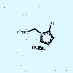 C#N.CCCCCCn1cccc1CC